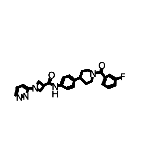 O=C(Nc1ccc(C2CCN(C(=O)c3cccc(F)c3)CC2)cc1)C1CN(c2cccnn2)C1